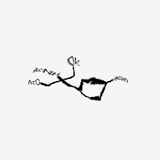 CCCCCCCCCc1ccc(CC(COC(C)=O)(COC(C)=O)NC(C)=O)cc1